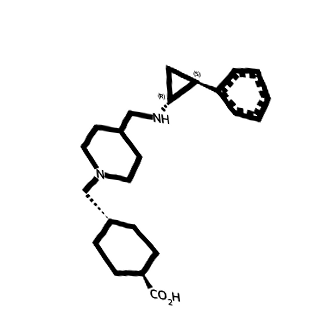 O=C(O)[C@H]1CC[C@H](CN2CCC(CN[C@@H]3C[C@H]3c3ccccc3)CC2)CC1